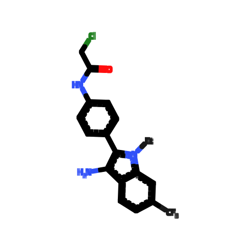 CCn1c(-c2ccc(NC(=O)CCl)cc2)c(N)c2ccc(C(F)(F)F)cc21